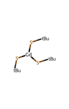 CC(C)(C)[S][Gd]([S]C(C)(C)C)[S]C(C)(C)C